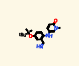 Cn1cc(Nc2ccc(O[Si](C)(C)C(C)(C)C)cc2C=N)ccc1=O